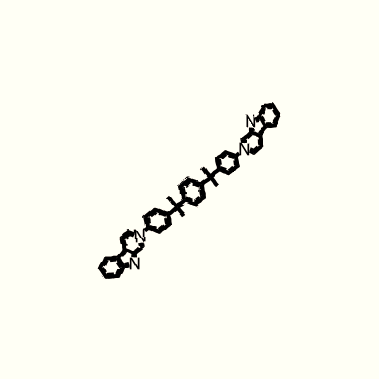 CC(C)(c1ccc(-n2ccc3c4ccccc4nc-3c2)cc1)c1ccc(C(C)(C)c2ccc(-n3ccc4c5ccccc5nc-4c3)cc2)cc1